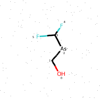 OC[As]C(F)F